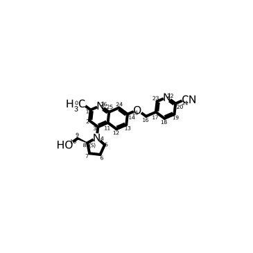 Cc1cc(N2CCC[C@H]2CO)c2ccc(OCc3ccc(C#N)nc3)cc2n1